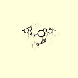 C=C1Oc2cc(OC)cc(C(=O)O[C@H]3COC(=O)C[C@H](N)c4cc(O)c(c(Cl)c4)O[C@@H]4C#C/C=C/3C#CC3=CC=C[C@@]34OC3OC(C)(C)C(N(C)C)C(O)C3O)c2NC1=O